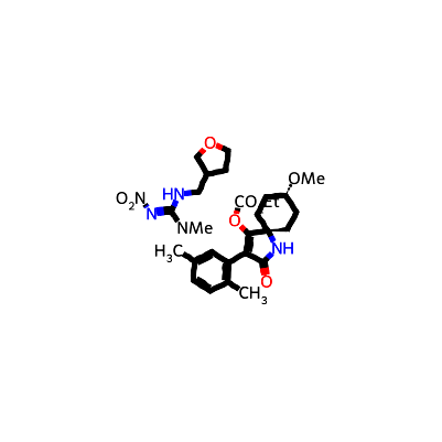 CCOC(=O)OC1=C(c2cc(C)ccc2C)C(=O)N[C@]12CC[C@@H](OC)CC2.CN/C(=N/[N+](=O)[O-])NCC1CCOC1